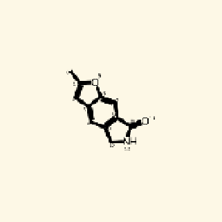 Cc1cc2cc3c(cc2o1)C(=O)NC3